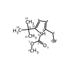 COC(=O)[SH]1C(CBr)=CC=C1C(C)(C)C